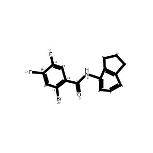 O=C(Nc1cccc2c1CCC2)c1cc(F)c(F)cc1Br